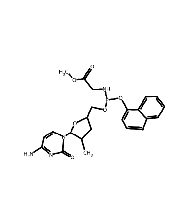 COC(=O)CNP(OCC1CC(C)C(n2ccc(N)nc2=O)O1)Oc1cccc2ccccc12